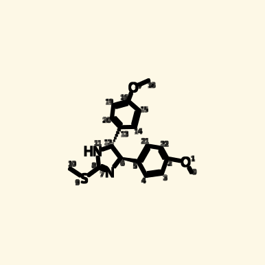 COc1ccc([C@H]2N=C(SC)N[C@@H]2c2ccc(OC)cc2)cc1